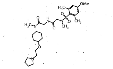 COc1cc(C)c(S(=O)(=O)N(C)CC(=O)NCC(=O)N(C)[C@H]2CC[C@H](OCCN3CCCC3)CC2)c(C)c1